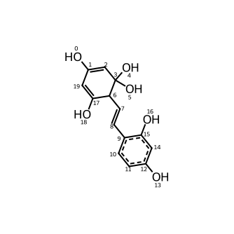 OC1=CC(O)(O)C(C=Cc2ccc(O)cc2O)C(O)=C1